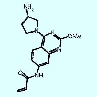 C=CC(=O)Nc1ccc2c(N3CC[C@@H](N)C3)nc(OC)nc2c1